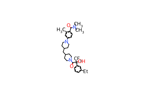 CCc1cccc([C@@](O)(C(=O)N2CCC(CC3CCN(c4ccc(C(=O)N(C)C)c(C)c4)CC3)CC2)C(F)(F)F)c1